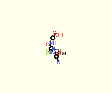 COc1cc(C#N)ccc1[C@H](C)Nc1ncc(C(=O)NC[C@H]2CC[C@H](C(=O)O)CC2)cc1C(F)(F)F